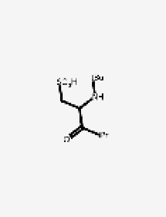 CC(C)C(=O)C(CS(=O)(=O)O)NC(C)(C)C